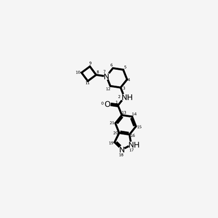 O=C(NC1CCCN(C2CCC2)C1)c1ccc2[nH]ncc2c1